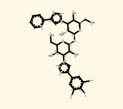 OCC1O[C@@H](S[C@@H]2O[C@H](CO)C(O)C(n3cc(-c4ccccn4)nn3)[C@H]2O)C(O)C(n2cc(-c3cc(F)c(F)c(F)c3)nn2)[C@H]1O